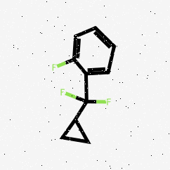 Fc1cc[c]cc1C(F)(F)C1CC1